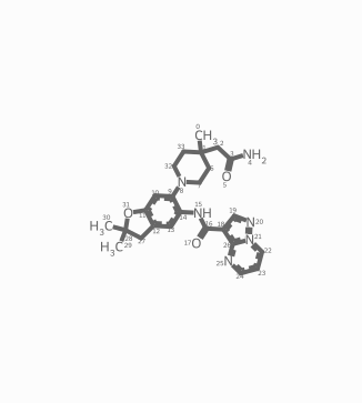 CC1(CC(N)=O)CCN(c2cc3c(cc2NC(=O)c2cnn4cccnc24)CC(C)(C)O3)CC1